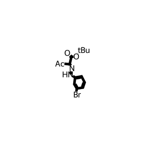 CC(=O)/C(=N\Nc1cccc(Br)c1)C(=O)OC(C)(C)C